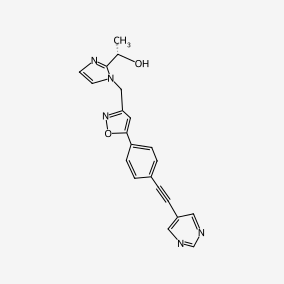 C[C@H](O)c1nccn1Cc1cc(-c2ccc(C#Cc3cncnc3)cc2)on1